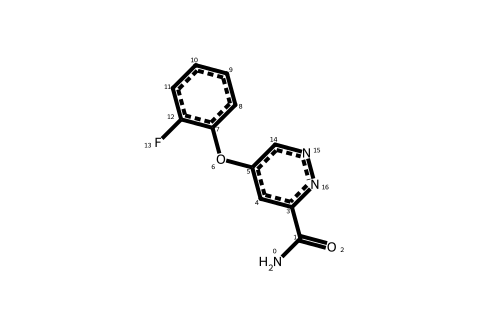 NC(=O)c1cc(Oc2ccccc2F)cnn1